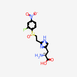 N[C@@H](Cc1c[nH]c(CC[S+]([O-])c2ccc([N+](=O)[O-])cc2F)n1)C(=O)O